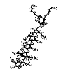 CCCCCCCCCCCCC/C=C/[C@@H](O)[C@H](CO[C@@H]1OC(CO)[C@@H](O[C@@H]2OC(CO)[C@H](O)[C@H](O[C@H]3OC(CO)[C@H](O)[C@H](O[C@@H]4OC(CO)[C@@H](O[C@@H]5OC(CO)[C@H](O)[C@H](O)C5O)[C@H](O)C4NC(C)=O)C3O)C2O)[C@H](O)C1O)NC(=O)CCCCCCCCCCCCCCC